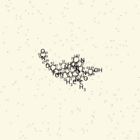 Cc1ncc(N(C(=O)c2cc(-c3cc4c(cc3C(=O)N3Cc5ccccc5C[C@H]3CN3CCCCC3)CN(C(=O)Cc3ccc(OCCN5CCOCC5)cc3F)CC4)n(C)c2C)c2ccc(O)cc2)cc1C#N